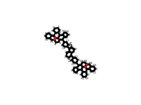 c1ccc(-c2c3ccccc3c(-c3ccc4c(c3)sc3ccc5c(ccc6sc7cc(-c8c9ccccc9c(-c9ccccc9-c9cccc%10ccccc9%10)c9ccccc89)ccc7c65)c34)c3ccccc23)c(-c2cccc3ccccc23)c1